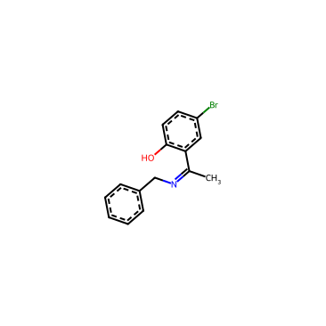 C/C(=N/Cc1ccccc1)c1cc(Br)ccc1O